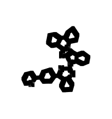 c1ccc(-c2ccc(-c3nc(-n4c5ccccc5c5c4nc4c6ccccc6c6ccccc6n45)nc4ccccc34)cc2)nc1